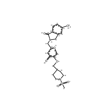 CS(=O)(=O)N1CCC(COc2coc(CN3Cc4cc(C(F)(F)F)ccc4C3=O)cc2=O)CC1